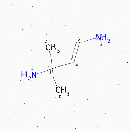 CC(C)(N)C=CN